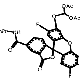 CCCNC(=O)c1ccc2c(c1)C(=O)OC21c2cc(F)[c]cc2Oc2cc(OC(OC(C)=O)OC(C)=O)c(F)cc21